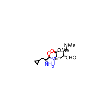 CNCC[C@H](C=O)C[C@H](NC(=O)[C@@H](N)CC1CC1)C(=O)OC